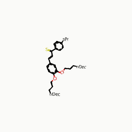 CCCCCCCCCCCCCOc1ccc(C=CC(=S)c2ccc(CCC)cc2)cc1OCCCCCCCCCCCCC